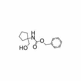 O=C(NC1(CO)CCCC1)OCc1ccccc1